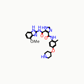 COc1cccc2[nH]c(NC(=O)c3[nH]cnc3C(=O)Nc3ccc(OC4CCNCC4)cc3C)nc12